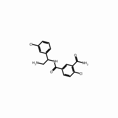 NCC(NC(=O)c1ccc(Cl)c(C(N)=O)c1)c1cccc(Cl)c1